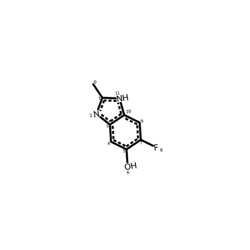 Cc1nc2cc(O)c(F)cc2[nH]1